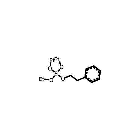 CCO[Si](OCC)(OCC)OCCc1ccccc1